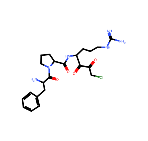 N=C(N)NCCCC(NC(=O)C1CCCN1C(=O)C(N)Cc1ccccc1)C(=O)C(=O)CCl